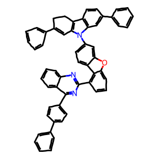 C1=C(c2ccccc2)CCc2c1n(-c1ccc3c(c1)oc1cccc(-c4nc(-c5ccc(-c6ccccc6)cc5)c5ccccc5n4)c13)c1cc(-c3ccccc3)ccc21